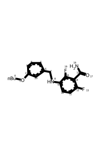 CCCCOc1cccc(CNc2ccc(F)c(C(N)=O)c2F)c1